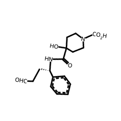 O=CCC[C@H](NC(=O)C1(O)CCN(C(=O)O)CC1)c1ccccc1